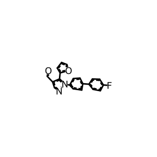 O=Cc1cnn(-c2ccc(-c3ccc(F)cc3)cc2)c1-c1ccco1